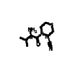 CC(C)[C@@H](N)C(=O)N1CCSC[C@H]1C#N